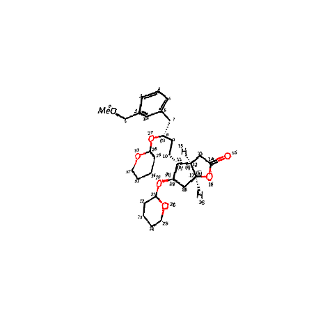 COCc1cccc(C[C@H](CC[C@@H]2[C@H]3CC(=O)O[C@H]3C[C@H]2OC2CCCCO2)OC2CCCCO2)c1